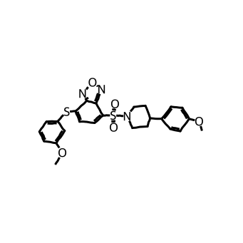 COc1ccc(C2CCN(S(=O)(=O)c3ccc(Sc4cccc(OC)c4)c4nonc34)CC2)cc1